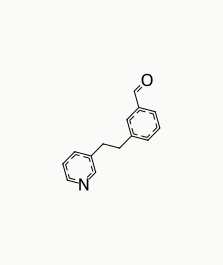 O=Cc1cccc(CCc2cccnc2)c1